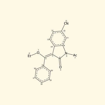 CCO/C(=C1/C(=O)N(C(C)=O)c2cc(C#N)ccc21)c1ccccc1